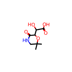 CC1(C)CNC(=O)C(C(O)C(=O)O)O1